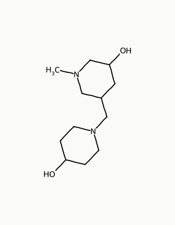 CN1CC(O)CC(CN2CCC(O)CC2)C1